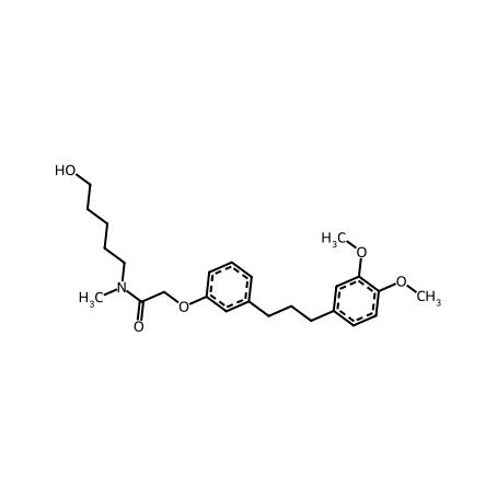 COc1ccc(CCCc2cccc(OCC(=O)N(C)CCCCCO)c2)cc1OC